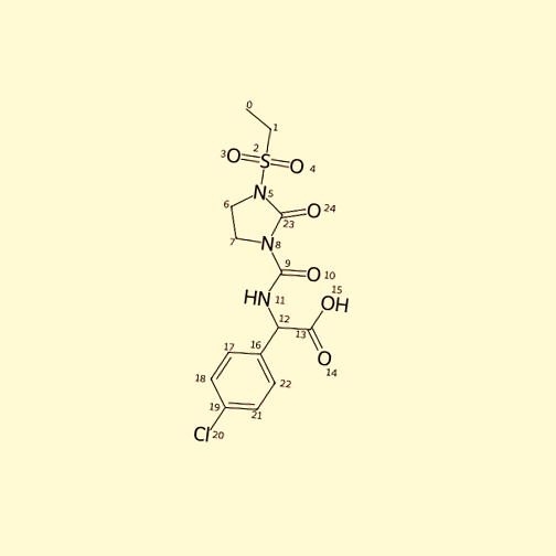 CCS(=O)(=O)N1CCN(C(=O)NC(C(=O)O)c2ccc(Cl)cc2)C1=O